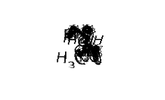 CC(C)Oc1cc(C(=O)N[C@@H](Cc2ccccc2)[C@H](O)CNCc2cccc(C(F)(F)F)c2)cc(N2CCCS2(=O)=O)c1